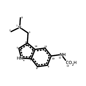 CN(C)Cc1c[nH]c2ccc(NC(=O)O)cc12